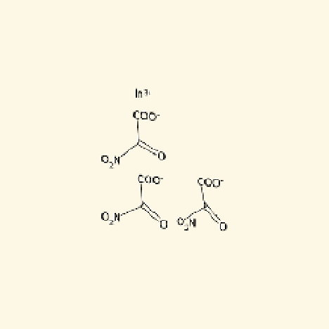 O=C([O-])C(=O)[N+](=O)[O-].O=C([O-])C(=O)[N+](=O)[O-].O=C([O-])C(=O)[N+](=O)[O-].[In+3]